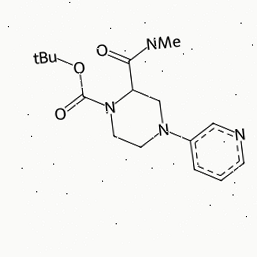 CNC(=O)C1CN(c2cccnc2)CCN1C(=O)OC(C)(C)C